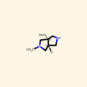 CO[C@]12CNC[C@@H]1CN(C(=O)O)C2